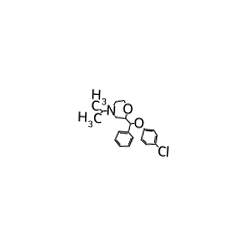 CC(C)N1CCOC(C(Oc2ccc(Cl)cc2)c2ccccc2)C1